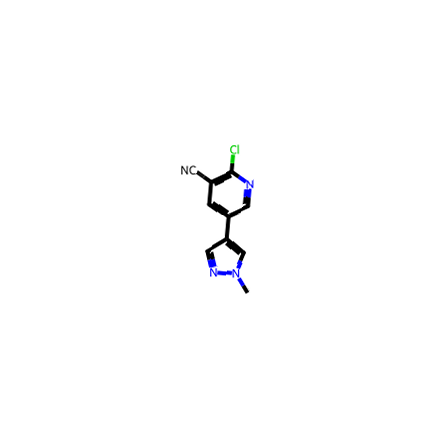 Cn1cc(-c2cnc(Cl)c(C#N)c2)cn1